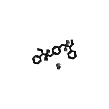 C=CC(c1ccccc1)[N+](CC)(CC)Cc1ccc(C[N+](CC)(CC)C(C=C)c2ccccc2)cc1.[Cl-].[Cl-]